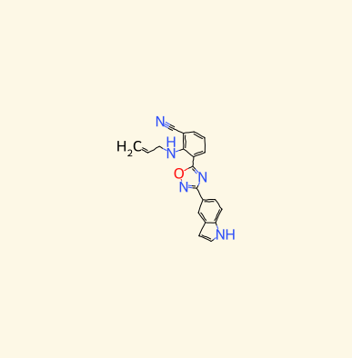 C=CCNc1c(C#N)cccc1-c1nc(-c2ccc3[nH]ccc3c2)no1